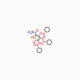 NC(=O)[C@H](O)[C@@H](OC(=O)c1ccccc1)[C@H](OC(=O)c1ccccc1)[C@H](C=O)OC(=O)c1ccccc1